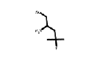 CC(C)(C)CC(N)CC(C)(C)F